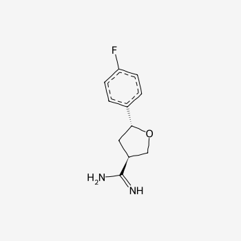 N=C(N)[C@@H]1CO[C@@H](c2ccc(F)cc2)C1